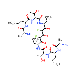 CC[C@H](C)[C@H](N)C(=O)N[C@@H](CCC(=O)O)C(=O)N[C@H](C(=O)N[C@@H](CC(=O)O)C(=O)C(F)C(=O)C(F)C(=O)[C@H](CC(=O)O)NC(=O)[C@@H](NC(=O)[C@H](CCC(=O)O)NC(=O)[C@@H](N)[C@@H](C)CC)[C@@H](C)O)[C@@H](C)O